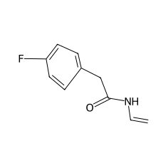 C=CNC(=O)Cc1ccc(F)cc1